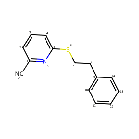 N#Cc1cccc(SCCc2ccccc2)n1